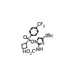 CC(C)(C)c1cnc(NC(=O)O)s1.O=S(=O)(c1ccc(C(F)(F)F)cc1)C1CCC1